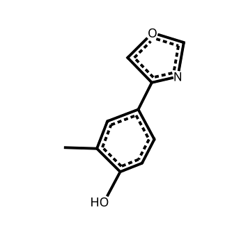 Cc1cc(-c2cocn2)ccc1O